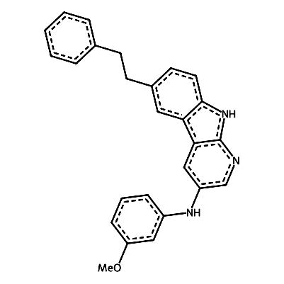 COc1cccc(Nc2cnc3[nH]c4ccc(CCc5ccccc5)cc4c3c2)c1